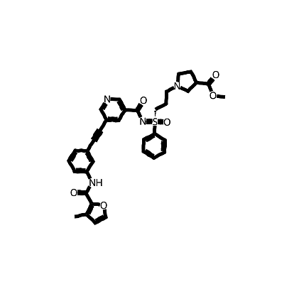 COC(=O)C1CCN(CCC[S@@](=O)(=NC(=O)c2cncc(C#Cc3cccc(NC(=O)c4occc4C)c3)c2)c2ccccc2)C1